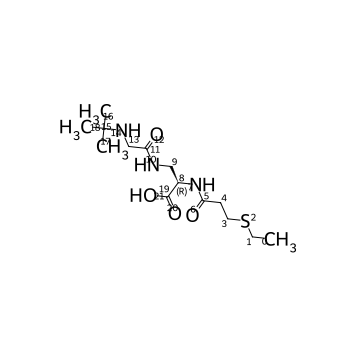 CCSCCC(=O)N[C@H](CNC(=O)CNC(C)(C)C)C(=O)O